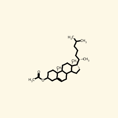 CC(=O)OC1CC[C@]2(C)C(=CCC3C2CC[C@]2(C)C3CC[C@H]2[C@@H](C)CCCC(C)C)C1